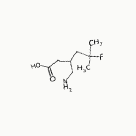 CC(C)(F)CC(CN)CC(=O)O